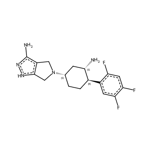 Nc1n[nH]c2c1CN([C@H]1CC[C@H](c3cc(F)c(F)cc3F)[C@@H](N)C1)C2